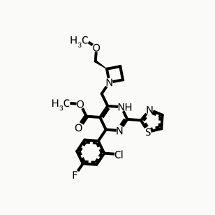 COC[C@H]1CCN1CC1=C(C(=O)OC)C(c2ccc(F)cc2Cl)N=C(c2nccs2)N1